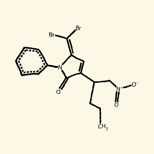 CCCC(C[N+](=O)[O-])C1=CC(=C(Br)Br)N(c2ccccc2)C1=O